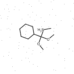 COC(OC)([SiH2]C)C1CCCCC1